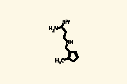 CCCC(N)CCNCC1=C(C)CC=C1